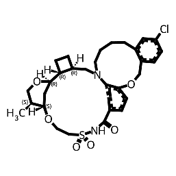 C[C@H]1CO[C@@H]2C[C@@H]1OCCS(=O)(=O)NC(=O)c1ccc3c(c1)N(CCCCc1cc(Cl)ccc1CO3)C[C@@H]1CC[C@H]12